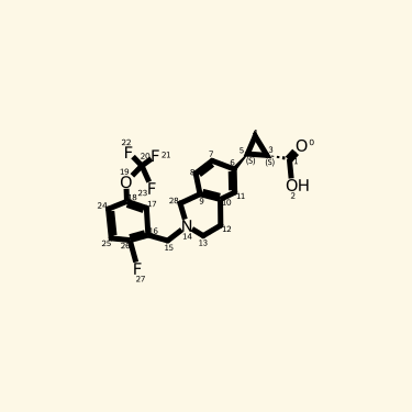 O=C(O)[C@H]1C[C@@H]1c1ccc2c(c1)CCN(Cc1cc(OC(F)(F)F)ccc1F)C2